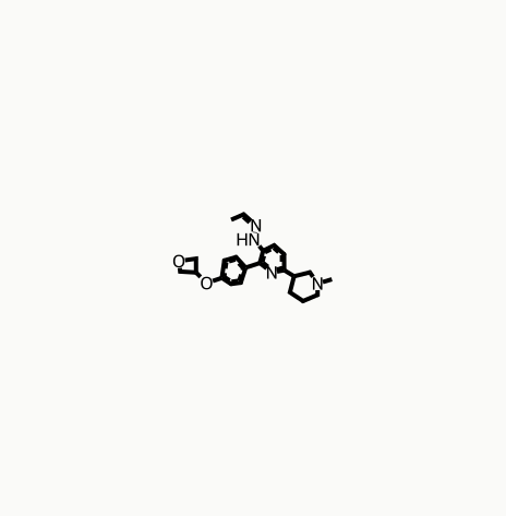 C/C=N\Nc1ccc(C2CCCN(C)C2)nc1-c1ccc(OC2COC2)cc1